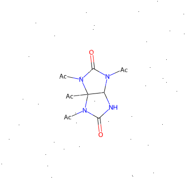 CC(=O)N1C(=O)N(C(C)=O)C2(C(C)=O)C1NC(=O)N2C(C)=O